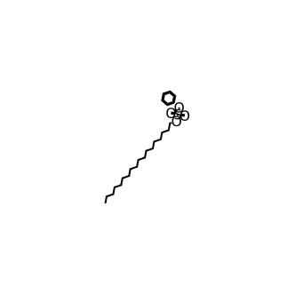 CCCCCCCCCCCCCCCCCCOS(=O)(=O)Oc1ccccc1